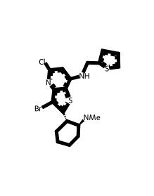 CN[C@H]1CCCC[C@@H]1c1sc2c(NCc3cccs3)cc(Cl)nc2c1Br